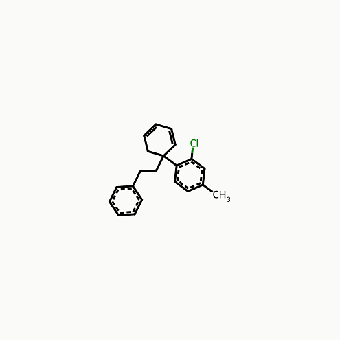 Cc1ccc(C2(CCc3ccccc3)C=CC=CC2)c(Cl)c1